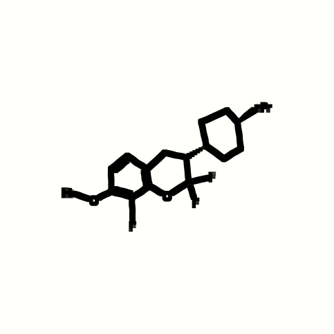 CCC[C@H]1CC[C@H](C2Cc3ccc(OCC)c(F)c3OC2(F)F)CC1